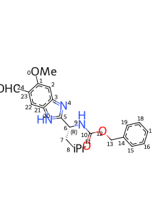 COc1cc2nc([C@@H](CC(C)C)NC(=O)OCc3ccccc3)[nH]c2cc1C=O